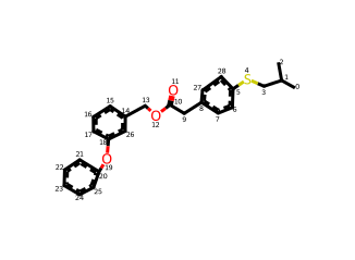 CC(C)CSc1ccc(CC(=O)OCc2cccc(Oc3ccccc3)c2)cc1